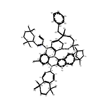 C=C/C(=C\C1CC(C)(C)CCC1(C)C)N1C2=C(B3c4c1cc(C)cc4N(C1C=CC4=C(C=C1)C(C)(C)CCC4(C)C)c1sc4cc5c(cc4c13)C1(C)CCC5(C)C1)C1CC(=C2)C(C)(Cc2ccccc2)CCC(C)(C)C1